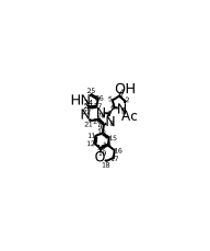 CC(=O)N1C[C@H](O)C[C@@H]1c1nc(-c2ccc3c(c2)CCCO3)c2cnc3[nH]ccc3n12